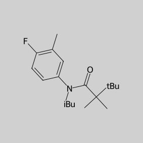 CCC(C)N(C(=O)C(C)(C)C(C)(C)C)c1ccc(F)c(C)c1